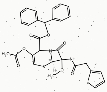 COC1(NC(=O)Cc2cccs2)C(=O)N2C(C(=O)OC(c3ccccc3)c3ccccc3)C(OC(C)=O)=CS[C@@H]21